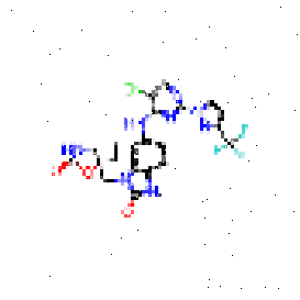 CCC1(Cn2c(=O)n(C)c3ccc(Nc4nc(-n5ccc(C(F)(F)F)n5)ncc4Cl)cc32)CNC(=O)O1